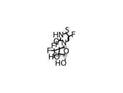 O=c1[nH]c(=S)c(F)cn1[C@@H]1O[C@H](CO)[C@H](O)C1(F)C(F)(F)F